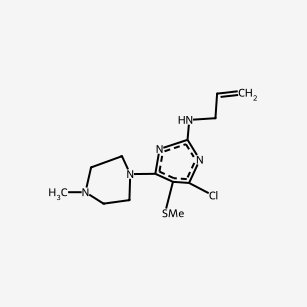 C=CCNc1nc(Cl)c(SC)c(N2CCN(C)CC2)n1